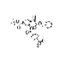 CC(C)(C)OC(=O)N1CC[C@@H](NC(=O)OCc2ccccc2)[C@@H](OC(=O)c2ccc([N+](=O)[O-])cc2)C1